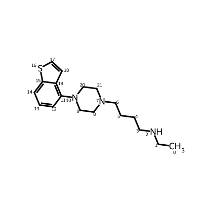 CCNCCCCN1CCN(c2cccc3sccc23)CC1